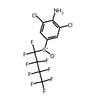 Nc1c(Cl)cc([S+]([O-])C(F)(F)C(F)(F)C(F)(F)C(F)(F)F)cc1Cl